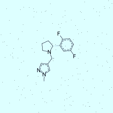 Cn1cc([CH]N2CCC[C@@H]2c2cc(F)ccc2F)cn1